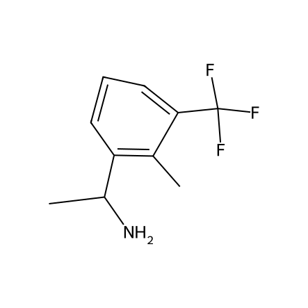 Cc1c(C(C)N)cccc1C(F)(F)F